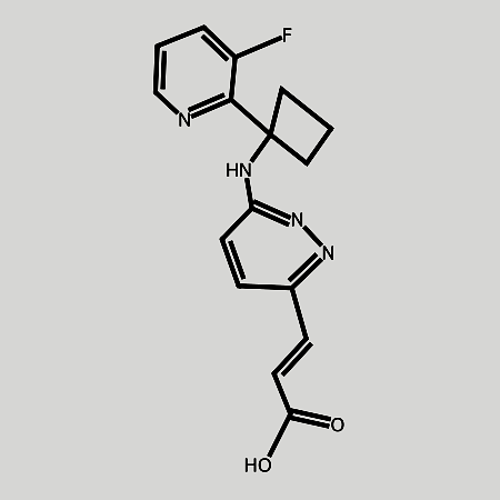 O=C(O)C=Cc1ccc(NC2(c3ncccc3F)CCC2)nn1